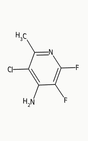 Cc1nc(F)c(F)c(N)c1Cl